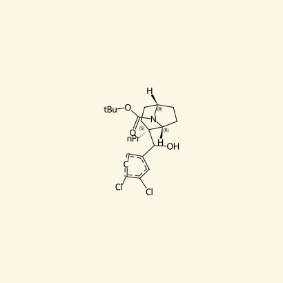 CCC[C@]1(C(O)c2ccc(Cl)c(Cl)c2)CC[C@@H]2CC[C@H]1N2C(=O)OC(C)(C)C